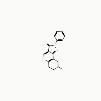 CC1CCc2[nH]cc3c(=O)n(-c4ccccc4)nc-3c2C1.Cl